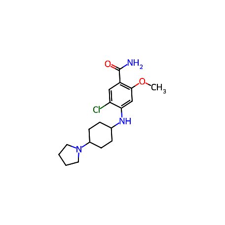 COc1cc(NC2CCC(N3CCCC3)CC2)c(Cl)cc1C(N)=O